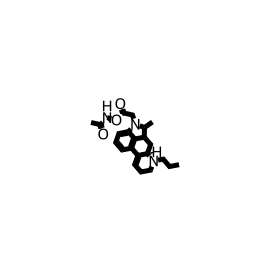 CCCN1CCC=C2c3cccc4c3C(C[C@H]21)C(C)N4CC(=O)ONC(C)=O